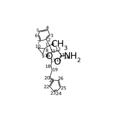 CC(c1ccccc1)(C1CC1)C(CC(N)=O)OCCCCc1ccccc1